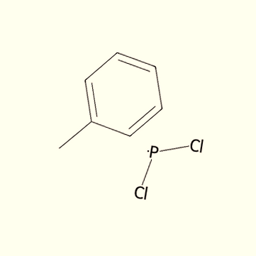 Cc1ccccc1.Cl[P]Cl